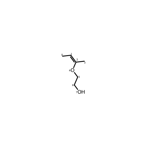 CC=C(C)OCCO